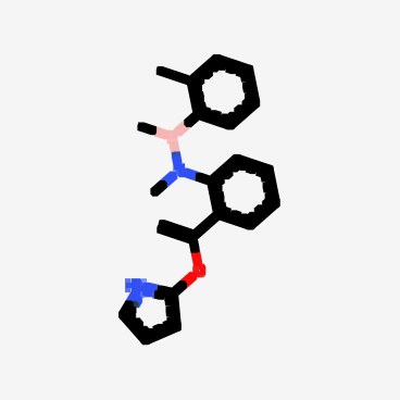 C=C(Oc1ccc[nH]1)c1ccccc1N(C)B(C)c1ccccc1C